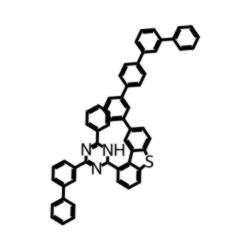 c1ccc(C2=NC(c3cccc(-c4ccccc4)c3)=NC(c3cccc4sc5ccc(-c6cccc(-c7ccc(-c8cccc(-c9ccccc9)c8)cc7)c6)cc5c34)N2)cc1